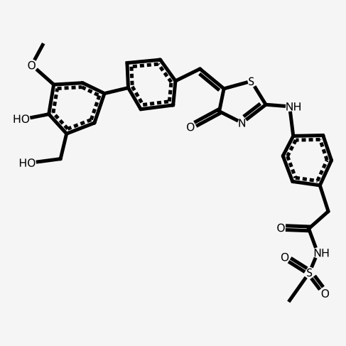 COc1cc(-c2ccc(/C=C3/SC(Nc4ccc(CC(=O)NS(C)(=O)=O)cc4)=NC3=O)cc2)cc(CO)c1O